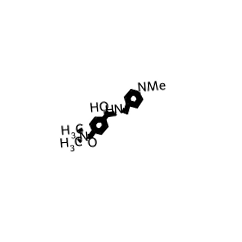 CNc1ccc(CNCC(O)c2ccc(C(=O)N(C)C)cc2)cc1